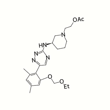 CCOCOc1cc(C)cc(C)c1-c1cnc(N[C@@H]2CCCN(CCOC(C)=O)C2)nn1